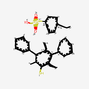 Cc1c(S)c(C)c(-c2ccccc2)c(C)c1-c1ccccc1.Cc1ccc(S(=O)(=O)O)cc1